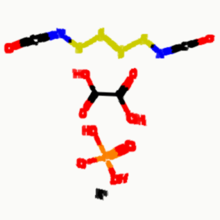 O=C(O)C(=O)O.O=C=NSSSSN=C=O.O=P([O-])(O)O.[K+]